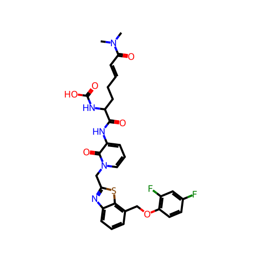 CN(C)C(=O)C=CCCC(NC(=O)O)C(=O)Nc1cccn(Cc2nc3cccc(COc4ccc(F)cc4F)c3s2)c1=O